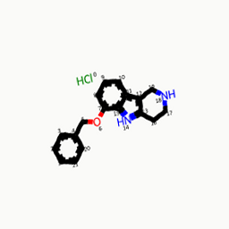 Cl.c1ccc(COc2cccc3c4c([nH]c23)CCNC4)cc1